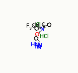 C[C@@H](CN(CCCOc1cccc(Cc2nnn[nH]2)c1)Cc1cccc(C(F)(F)F)c1Cl)c1ccccc1.Cl